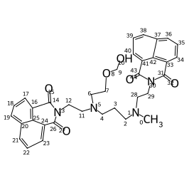 CN(CCCN(CCOCO)CCN1C(=O)c2cccc3cccc(c23)C1=O)CCN1C(=O)c2cccc3cccc(c23)C1=O